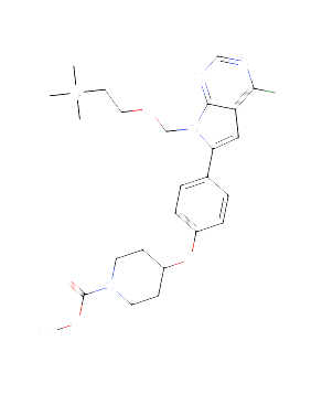 CC(C)(C)OC(=O)N1CCC(Oc2ccc(-c3cc4c(Cl)ncnc4n3COCC[Si](C)(C)C)cc2)CC1